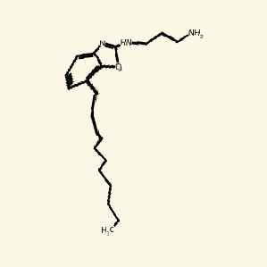 CCCCCCCCCCc1cccc2nc(NCCCN)oc12